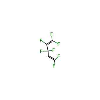 FC(F)=[C]C(F)(F)C(F)=C(F)F